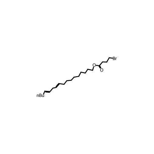 CCCCC=CCC=CCCCCCCCCCOC(=O)CCCBr